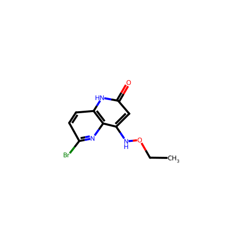 CCONc1cc(=O)[nH]c2ccc(Br)nc12